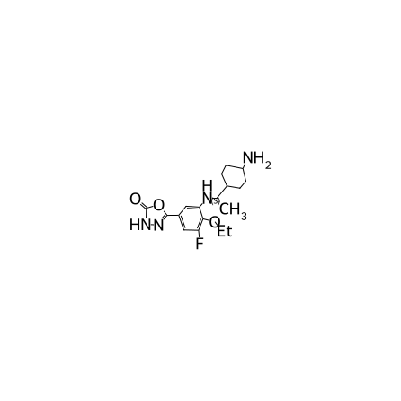 CCOc1c(F)cc(-c2n[nH]c(=O)o2)cc1N[C@@H](C)C1CCC(N)CC1